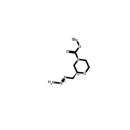 CC(C)(C)OC(=O)N1CCO[C@@H](C/N=N/N)C1